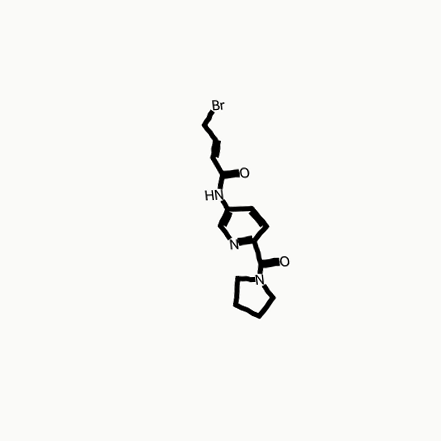 O=C(/C=C/CBr)Nc1ccc(C(=O)N2CCCC2)nc1